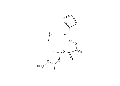 C=C(OOC(C)(C)c1ccccc1)C(=O)OC(C)OC(C)OC(=O)O.CCC